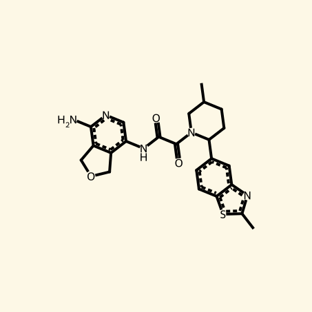 Cc1nc2cc(C3CCC(C)CN3C(=O)C(=O)Nc3cnc(N)c4c3COC4)ccc2s1